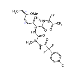 C=C(/C=C\C(=C/C)OC)[C@H](NC(=O)[C@H](C)NC(=O)C(F)(F)c1ccc(Cl)cc1)C(=O)N[C@H](C(=O)C(F)(F)F)C(C)C